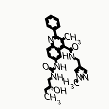 CC[C@@H](O)CNC(=O)Nc1ccc2nc(-c3ccccc3)c(C)c(C(=O)NCc3cnn(C)c3)c2c1